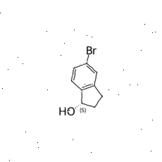 O[C@H]1CCc2cc(Br)ccc21